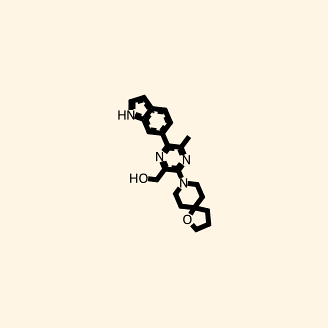 Cc1nc(N2CCC3(CCCO3)CC2)c(CO)nc1-c1ccc2cc[nH]c2c1